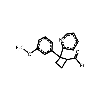 CCC(=O)C1CCC1(c1cccc(OC(F)(F)F)c1)c1ccccn1